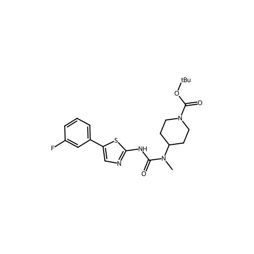 CN(C(=O)Nc1ncc(-c2cccc(F)c2)s1)C1CCN(C(=O)OC(C)(C)C)CC1